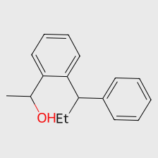 [CH2]CC(c1ccccc1)c1ccccc1C(C)O